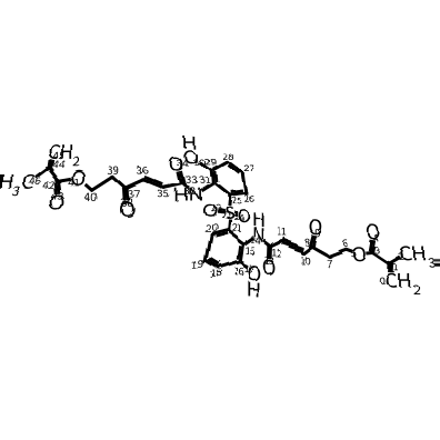 C=C(C)C(=O)OCCC(=O)/C=C/C(=O)Nc1c(O)cccc1S(=O)(=O)c1cccc(O)c1NC(=O)/C=C/C(=O)CCOC(=O)C(=C)C